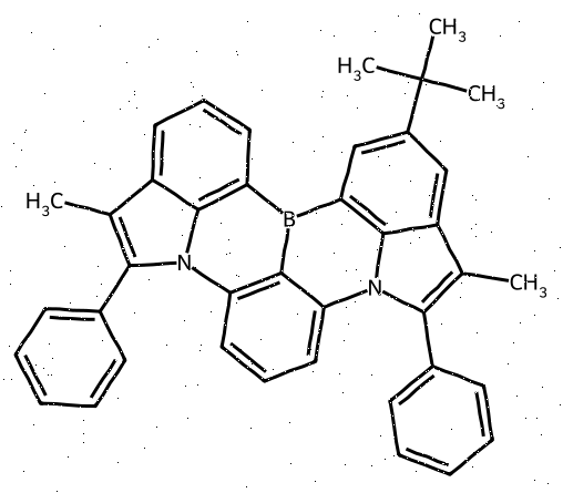 Cc1c(-c2ccccc2)n2c3c(cccc13)B1c3c-2cccc3-n2c(-c3ccccc3)c(C)c3cc(C(C)(C)C)cc1c32